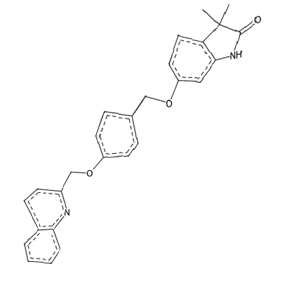 CC1(C)C(=O)Nc2cc(OCc3ccc(OCc4ccc5ccccc5n4)cc3)ccc21